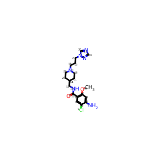 COc1cc(N)c(Cl)cc1C(=O)NCC1CCN(CCCn2cncn2)CC1